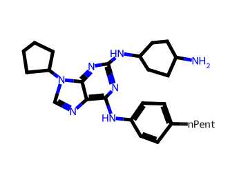 CCCCCc1ccc(Nc2nc(NC3CCC(N)CC3)nc3c2ncn3C2CCCC2)cc1